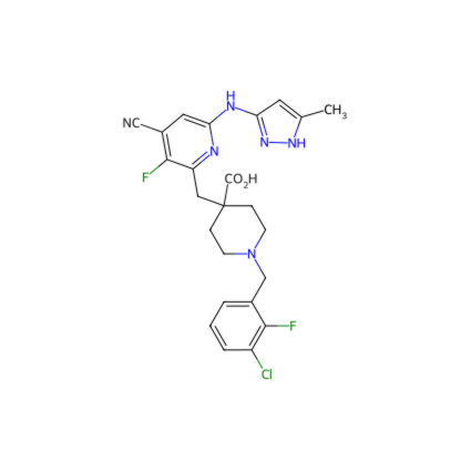 Cc1cc(Nc2cc(C#N)c(F)c(CC3(C(=O)O)CCN(Cc4cccc(Cl)c4F)CC3)n2)n[nH]1